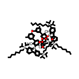 CCCCCCCC[Si](c1ccc2c3ccc([Si](CCCCCCCC)(C(C)C)C(C)C)cc3n(-c3c(O)c(-c4cc(C)cc(F)c4)cc(C(C)(C)CC(C)(C)C)c3OCCCOc3c(C(C)(C)CC(C)(C)C)cc(-c4cc(C)cc(F)c4)c(O)c3-n3c4cc([Si](CCCCCCCC)(C(C)C)C(C)C)ccc4c4ccc([Si](CCCCCCCC)(C(C)C)C(C)C)cc43)c2c1)(C(C)C)C(C)C